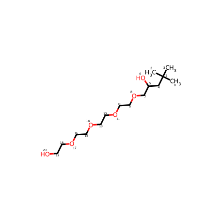 CC(C)(C)CC(O)COCCOCCOCCOCCO